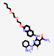 CCCCOCCOCCOc1ccc2cc(Nc3nc(N[C@@H]4CCCC[C@@H]4N)c(F)cc3C(N)=O)ccc2n1